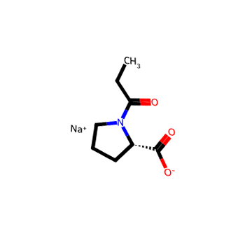 CCC(=O)N1CCC[C@H]1C(=O)[O-].[Na+]